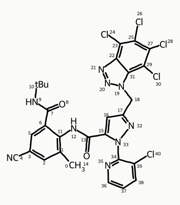 Cc1cc(C#N)cc(C(=O)NC(C)(C)C)c1NC(=O)c1cc(Cn2nnc3c(Cl)c(Cl)c(Cl)c(Cl)c32)nn1-c1ncccc1Cl